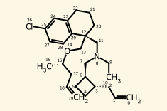 C=CC[C@@H]1CC[C@H]1CN(CC)C[C@]1(CO[C@@H](C)CC=C)CCCc2cc(Cl)ccc21